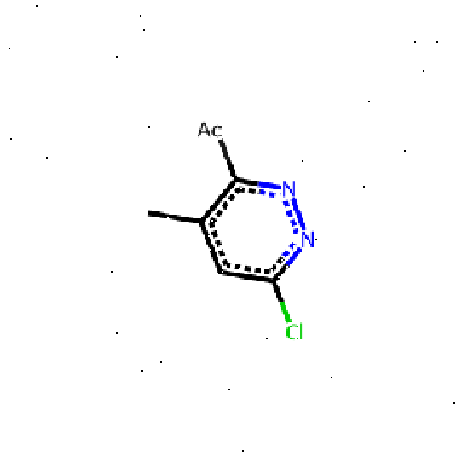 CC(=O)c1nnc(Cl)cc1C